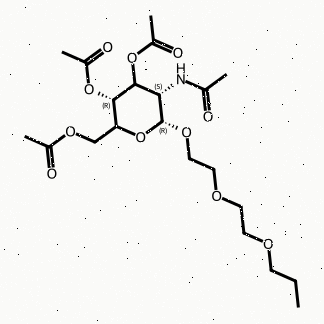 CCCOCCOCCO[C@@H]1OC(COC(C)=O)[C@H](OC(C)=O)C(OC(C)=O)[C@@H]1NC(C)=O